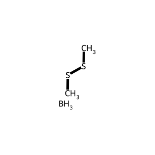 B.CSSC